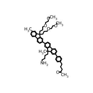 COCCOCCCC1(CCCOCCOC)c2cc(C)ccc2-c2ccc(-c3ccc4c(c3)C(C)(CCCCN)c3cc(-c5ccc(CCCC(C)=O)cc5)ccc3-4)cc21